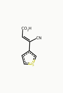 N#CC(=CC(=O)O)c1ccsc1